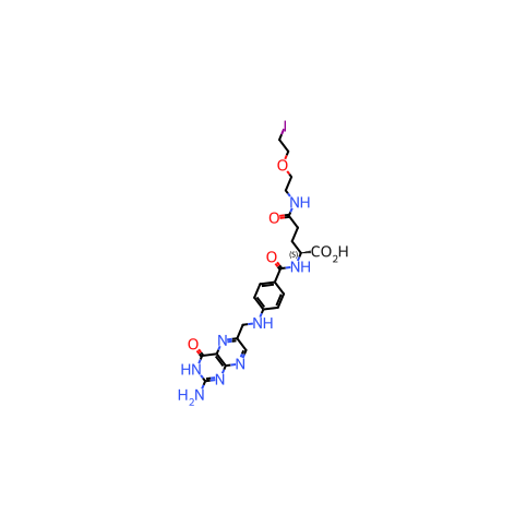 Nc1nc2ncc(CNc3ccc(C(=O)N[C@@H](CCC(=O)NCCOCCI)C(=O)O)cc3)nc2c(=O)[nH]1